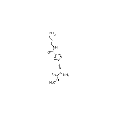 COC(=O)C(N)C#Cc1ccc(C(=O)NCCCN)o1